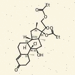 CCC(=O)OCC(=O)[C@@]1(OC(=O)CC)[C@H](C)C[C@H]2[C@@H]3CCC4=CC(=O)CC[C@]4(C)[C@@]3(Cl)[C@H](O)C[C@@]21C